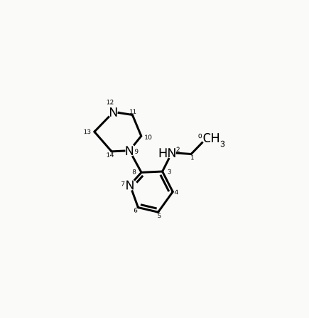 CCNc1cccnc1N1CC[N]CC1